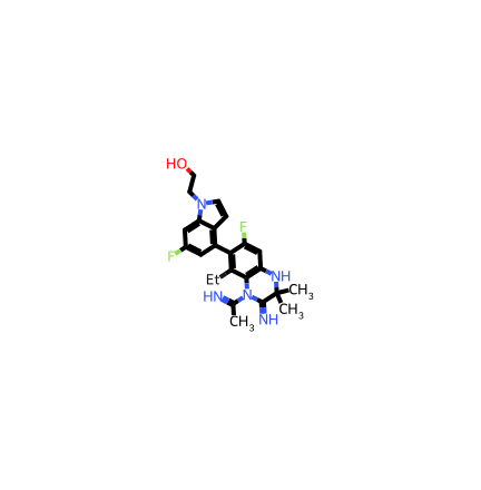 CCc1c(-c2cc(F)cc3c2ccn3CCO)c(F)cc2c1N(C(C)=N)C(=N)C(C)(C)N2